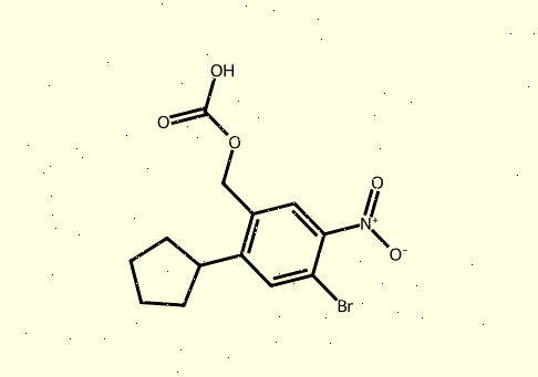 O=C(O)OCc1cc([N+](=O)[O-])c(Br)cc1C1CCCC1